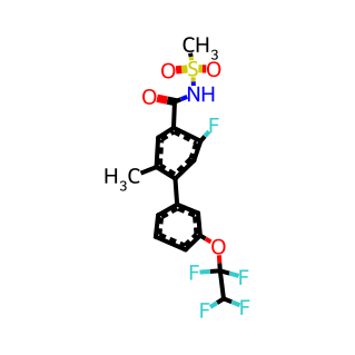 Cc1cc(C(=O)NS(C)(=O)=O)c(F)cc1-c1cccc(OC(F)(F)C(F)F)c1